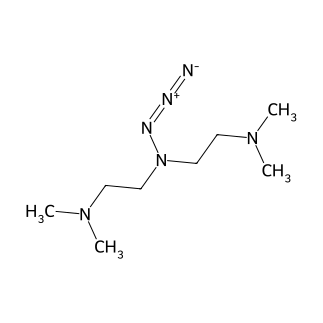 CN(C)CCN(CCN(C)C)N=[N+]=[N-]